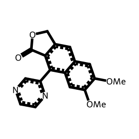 COc1cc2cc3c(c(-c4cnccn4)c2cc1OC)C(=O)OC3